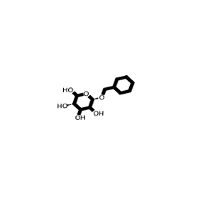 OC1C(O)[C@H](O)C(O)O[C@@H]1OCC1CCCCC1